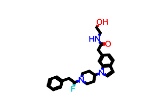 O=C(Cc1ccc2ccn(C3CCN(C(F)Cc4ccccc4)CC3)c2c1)NCCO